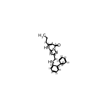 CCCc1cc(=O)n2nc(CNc3ccccc3-c3ccccc3)nc2[nH]1